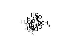 C=C(C)C#N.C=C(CC=C(C)C(=O)O)C(=O)OC.C=C(Cl)Cl